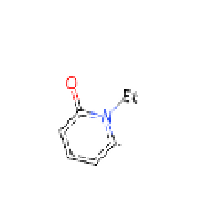 CCn1[c]cccc1=O